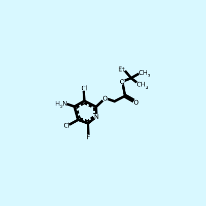 CCC(C)(C)OC(=O)COc1nc(F)c(Cl)c(N)c1Cl